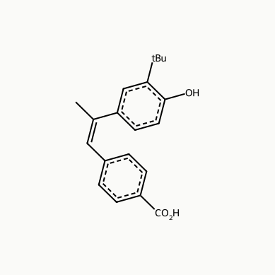 CC(=Cc1ccc(C(=O)O)cc1)c1ccc(O)c(C(C)(C)C)c1